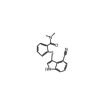 CN(C)C(=O)c1ccccc1Sc1c[nH]c2cccc(C#N)c12